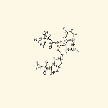 CN1C[C@H](N2Cc3cnn(S(=O)(=O)C4CC4)c3C2)C[C@H](NC(=O)OC(C)(C)C)[C@H]1c1cc(F)ccc1F